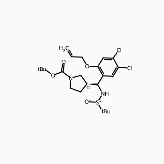 C=CCOc1cc(Cl)c(Cl)cc1C(N[S+]([O-])C(C)(C)C)[C@H]1CCN(C(=O)OC(C)(C)C)C1